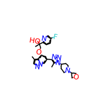 Cc1cnn2cc(-c3nnn(C4CCN(C5COC5)CC4)c3C)cc(OCC(C)(O)c3ccc(F)cn3)c12